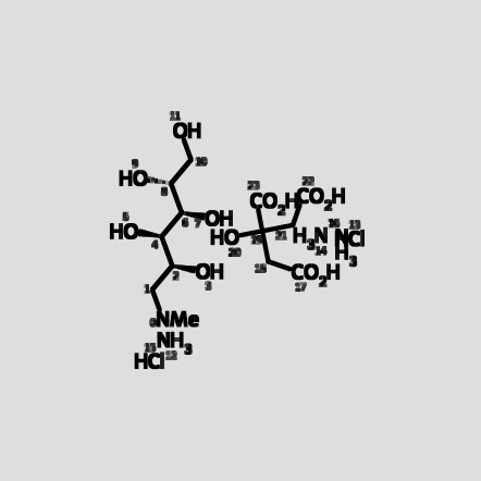 CNC[C@H](O)[C@@H](O)[C@H](O)[C@H](O)CO.Cl.Cl.N.N.N.O=C(O)CC(O)(CC(=O)O)C(=O)O